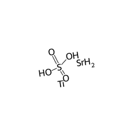 O=S(=O)(O)O.[SrH2].[Ti]